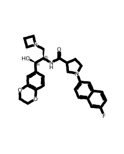 O=C(N[C@H](CN1CCC1)[C@H](O)c1ccc2c(c1)OCCO2)C1CCN(c2ccc3cc(F)ccc3c2)C1